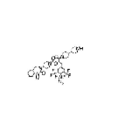 Nc1c(C(F)(F)F)cc(C[C@@H](OC(=O)N2CCC(N3CCc4ccccc4NC3=O)CC2)C(=O)N2CCC(C3CCNCC3)CC2)cc1C(F)(F)F